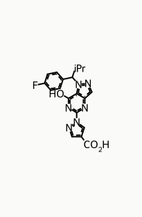 CC(C)C(c1ccc(F)cc1)n1ncc2nc(-n3cc(C(=O)O)cn3)nc(O)c21